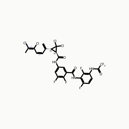 C=C(/C=C\C(Cl)=C(/C)Cl)[C@H]1[C@H](C(=O)Nc2cc(F)c(F)c(C(=O)Nc3c(F)ccc(NC(=O)C(F)(F)F)c3F)c2)C1(Cl)Cl